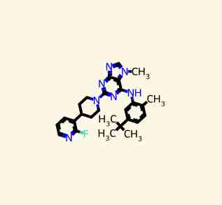 Cc1ccc(C(C)(C)C)cc1Nc1nc(N2CCC(c3cccnc3F)CC2)nc2ncn(C)c12